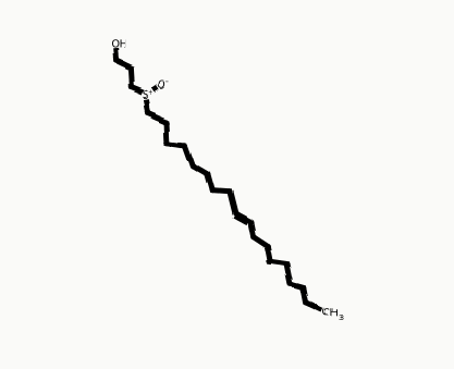 CCCCCCCCC=CCCCCCCCC[S+]([O-])CCCO